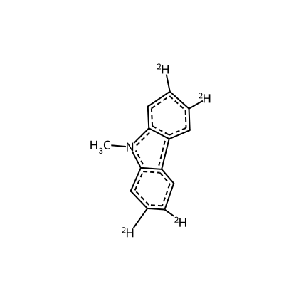 [2H]c1cc2c3cc([2H])c([2H])cc3n(C)c2cc1[2H]